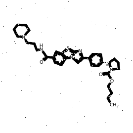 CCCCOC(=O)N1CCC[C@H]1c1ccc(-c2cn3c(n2)sc2cc(C(=O)NCCCN4CCCCC4)ccc23)cc1